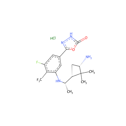 C[C@H](Nc1cc(-c2n[nH]c(=O)o2)cc(F)c1C(F)(F)F)[C@@H]1C[C@H](N)C1(C)C.Cl